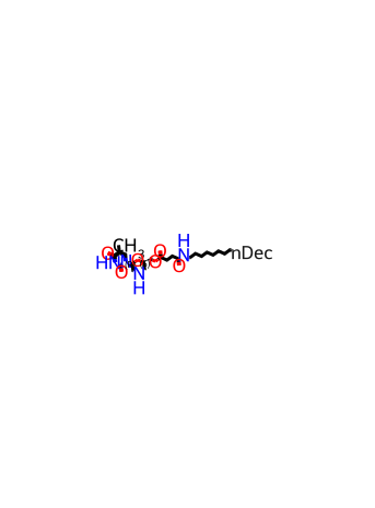 CCCCCCCCCCCCCCCCCCNC(=O)CCC(=O)OC[C@@H]1CNC[C@H](n2cc(C)c(=O)[nH]c2=O)O1